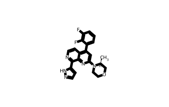 C[C@@H]1COCCN1c1cc(-c2cccc(F)c2F)c2ccnc(-c3ccn[nH]3)c2n1